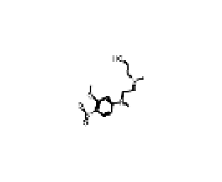 COc1cc(N(C)CCN(C)CCO)ccc1[N+](=O)[O-]